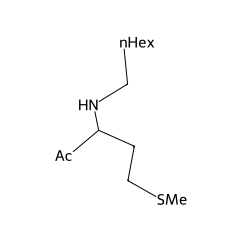 CCCCCCCNC(CCSC)C(C)=O